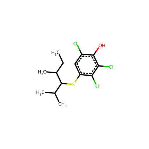 CCC(C)C(Sc1cc(Cl)c(O)c(Cl)c1Cl)C(C)C